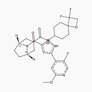 COc1cc(-c2cc(C(=O)N3[C@@H]4CC[C@H]3CC(C(=O)NC3CCC5(CC3)OCC5(F)F)C4)n[nH]2)c(F)cn1